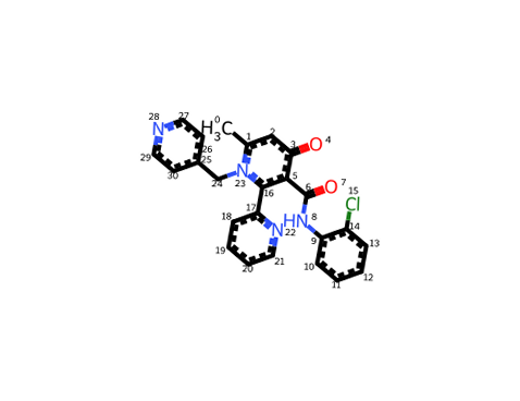 Cc1cc(=O)c(C(=O)Nc2ccccc2Cl)c(-c2ccccn2)n1Cc1ccncc1